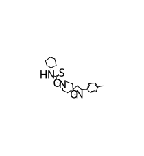 Cc1ccc(C2=NOC3(CCN(OC(=S)NC4CCCCC4)CC3)C2)cc1